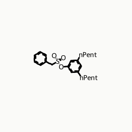 CCCCCc1cc(CCCCC)cc(OS(=O)(=O)Cc2ccccc2)c1